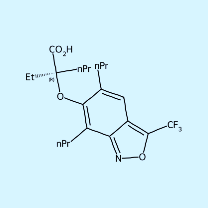 CCCc1cc2c(C(F)(F)F)onc2c(CCC)c1O[C@](CC)(CCC)C(=O)O